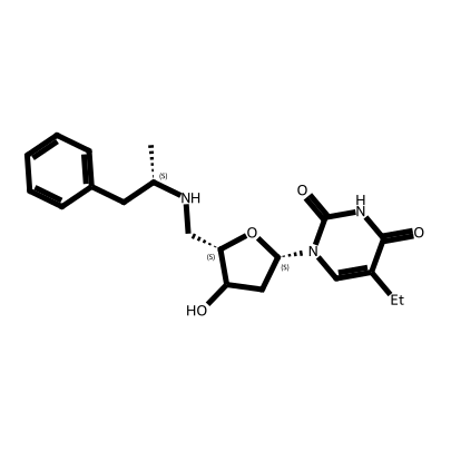 CCc1cn([C@@H]2CC(O)[C@H](CN[C@@H](C)Cc3ccccc3)O2)c(=O)[nH]c1=O